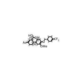 COC1=C(OC[C@@H]2CC=C(C(F)(F)F)CC2)C[C@@H]2O[C@H](O)[C@@H]3C=C(C(C)=O)CCC3[C@@H]2C1